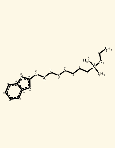 CCO[Si](C)(C)CCCSSSSSc1nc2ccccc2s1